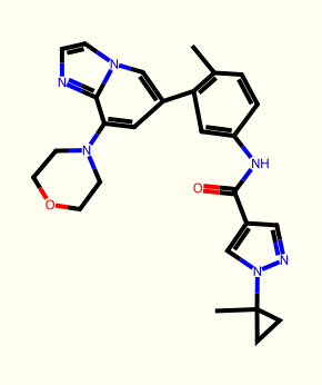 Cc1ccc(NC(=O)c2cnn(C3(C)CC3)c2)cc1-c1cc(N2CCOCC2)c2nccn2c1